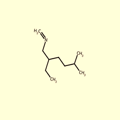 C=NCC(CC)CCC(C)C